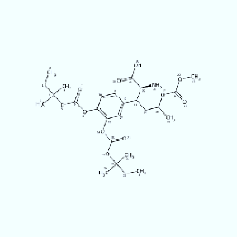 CCC(C)(C)OC(=O)Oc1ccc(C(CC(C)OC(=O)OC)[C@H](N)C(=O)O)cc1OC(=O)OC(C)(C)CC